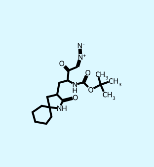 CC(C)(C)OC(=O)NC(CC1CC2(CCCCC2)NC1=O)C(=O)C=[N+]=[N-]